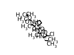 CC(C)C[C@H](NC(=O)[C@H](C)NC(=O)[C@H]1CCCN1C(=O)[C@@H](C)NC(=O)OC(C)(C)C)C(=O)CCl